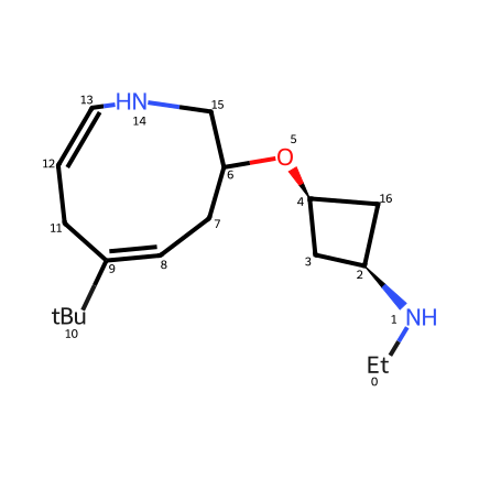 CCN[C@H]1C[C@@H](OC2C/C=C(/C(C)(C)C)C/C=C\NC2)C1